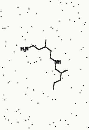 CCCC(C)CNCCC(C)CCN